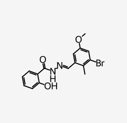 COc1cc(Br)c(C)c(/C=N/NC(=O)c2ccccc2O)c1